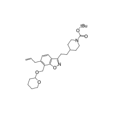 C=CCc1ccc2c(CCC3CCN(C(=O)OC(C)(C)C)CC3)noc2c1COC1CCCCO1